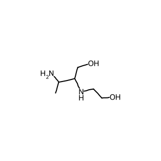 CC(N)C(CO)NCCO